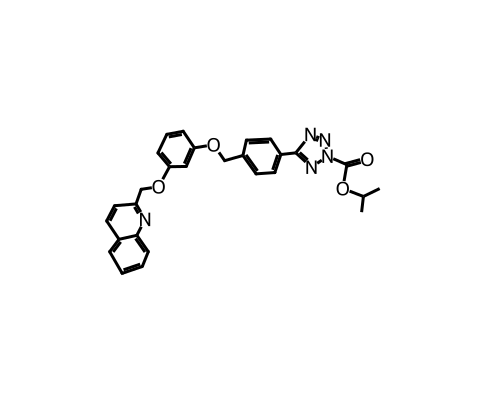 CC(C)OC(=O)n1nnc(-c2ccc(COc3cccc(OCc4ccc5ccccc5n4)c3)cc2)n1